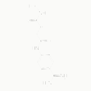 CNC(=O)CCC(=O)Nc1ccc(C(=N)N)cc1